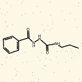 CCCNC(=O)NNC(=O)c1ccccc1